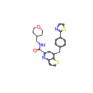 O=C(NCC1CCOCC1)c1cc(Cc2ccc(-c3nccs3)cc2)c2sccc2n1